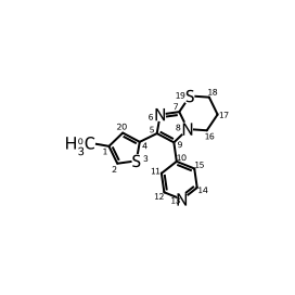 Cc1csc(-c2nc3n(c2-c2ccncc2)CCCS3)c1